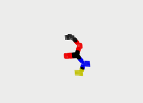 CCCOC(=O)NS